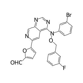 O=Cc1ccc(-c2cc3c(N(OCc4cccc(F)c4)c4cccc(Br)c4)ncnc3cn2)o1